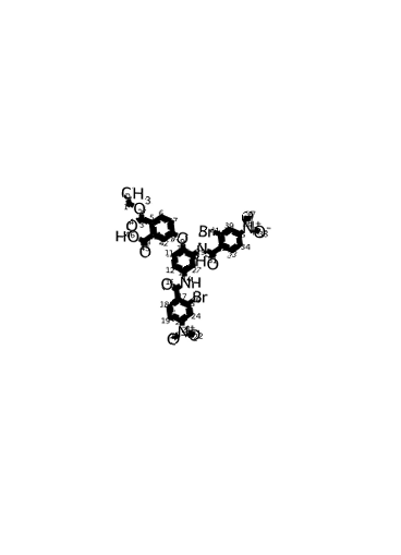 CCOC(=O)c1ccc(Oc2ccc(NC(=O)c3ccc([N+](=O)[O-])cc3Br)cc2NC(=O)c2ccc([N+](=O)[O-])cc2Br)cc1C(=O)O